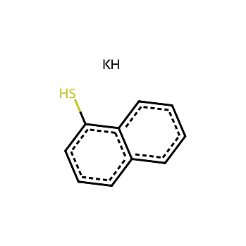 Sc1cccc2ccccc12.[KH]